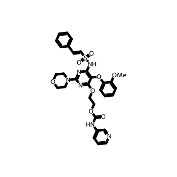 COc1ccccc1Oc1c(NS(=O)(=O)C=Cc2ccccc2)nc(N2CCOCC2)nc1OCCOC(=O)Nc1cccnc1